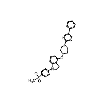 CS(=O)(=O)c1ccc(N2CCc3c(OC4CCN(c5ncc(-c6ccccc6)cn5)CC4)cccc32)cc1